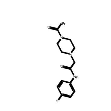 CC(C)C(=O)N1CCN(CC(=O)Nc2ccc(F)cc2)CC1